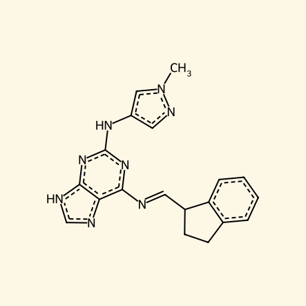 Cn1cc(Nc2nc(/N=C/C3CCc4ccccc43)c3nc[nH]c3n2)cn1